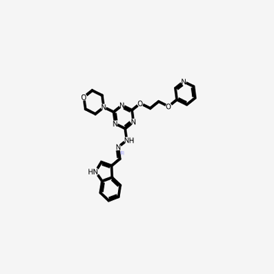 C(=N\Nc1nc(OCCOc2cccnc2)nc(N2CCOCC2)n1)/c1c[nH]c2ccccc12